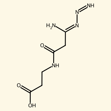 N=N/N=C(\N)CC(=O)NCCC(=O)O